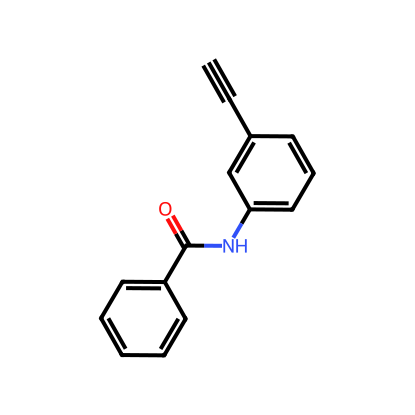 C#Cc1cccc(NC(=O)c2ccccc2)c1